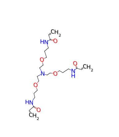 C=CC(=O)NCCCOCCN(CCOCCCNC(=O)C=C)CCOCCCNC(=O)C=C